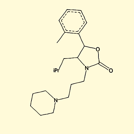 Cc1ccccc1C1OC(=O)N(CCCN2CCCCC2)C1CC(C)C